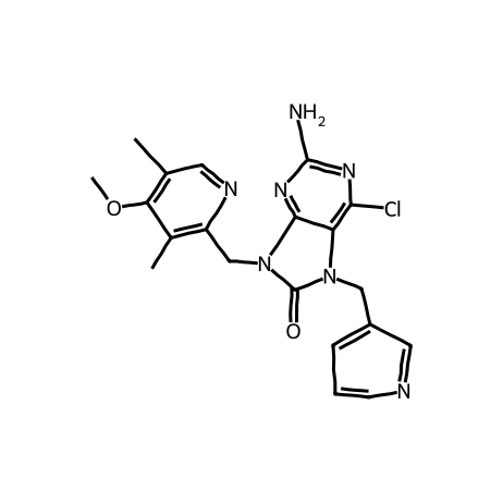 COc1c(C)cnc(Cn2c(=O)n(Cc3cccnc3)c3c(Cl)nc(N)nc32)c1C